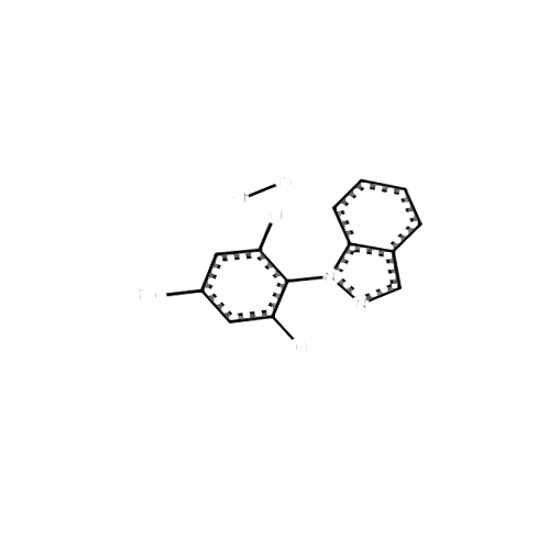 ClC(Cl)(Cl)Cl.FC(F)(F)c1cc(Cl)c(-n2ncc3ccccc32)c(Cl)c1